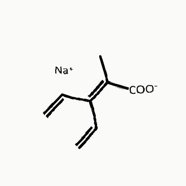 C=CC(C=C)=C(C)C(=O)[O-].[Na+]